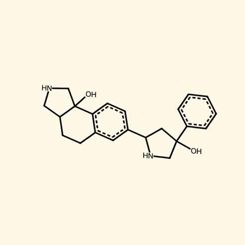 OC1(c2ccccc2)CNC(c2ccc3c(c2)CCC2CNCC32O)C1